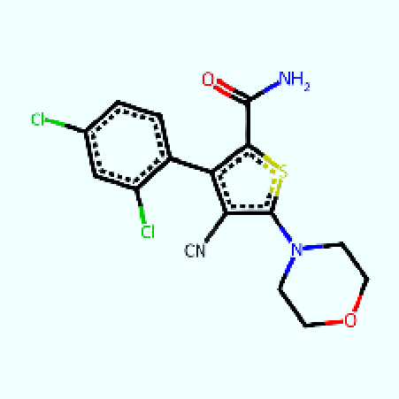 [C-]#[N+]c1c(N2CCOCC2)sc(C(N)=O)c1-c1ccc(Cl)cc1Cl